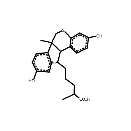 CCCCC(CCCC(C)C(=O)O)C1c2ccc(O)cc2SCC1(C)c1ccc(O)cc1